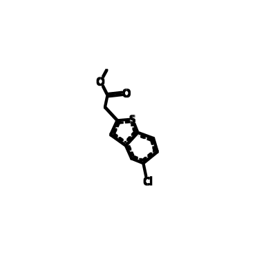 COC(=O)Cc1cc2cc(Cl)ccc2s1